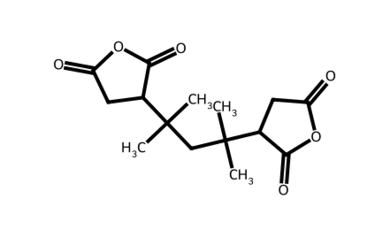 CC(C)(CC(C)(C)C1CC(=O)OC1=O)C1CC(=O)OC1=O